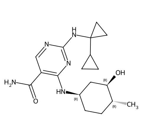 C[C@@H]1CC[C@@H](Nc2nc(NC3(C4CC4)CC3)ncc2C(N)=O)C[C@H]1O